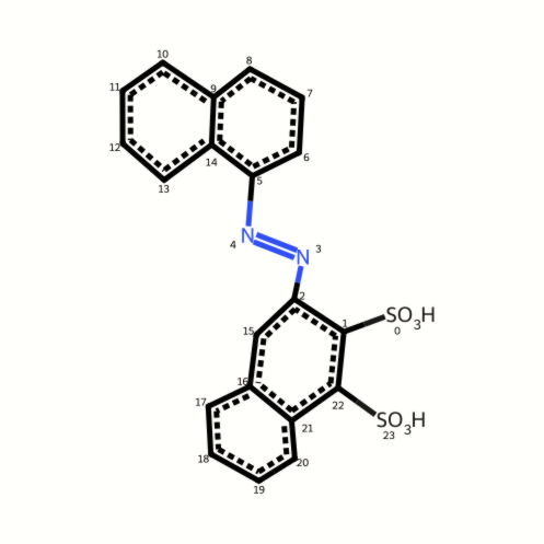 O=S(=O)(O)c1c(N=Nc2cccc3ccccc23)cc2ccccc2c1S(=O)(=O)O